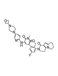 Cn1cc(-c2cc(F)cc(N3CCc4c(cc5n4CCCC5)C3=O)c2CO)cc(Nc2ccc(N3CCN(C4COC4)CC3)cn2)c1=O